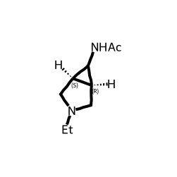 CCN1C[C@@H]2C(NC(C)=O)[C@@H]2C1